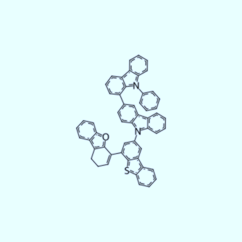 C1=C(c2cc(-n3c4ccccc4c4cc(-c5cccc6c7ccccc7n(-c7ccccc7)c56)ccc43)cc3c2sc2ccccc23)c2oc3ccccc3c2CC1